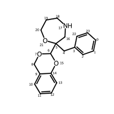 c1ccc(CC2(C3OCc4ccccc4O3)CNCCCO2)cc1